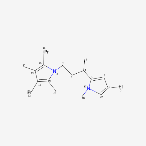 CCc1cc(C(C)CCn2c(C)c(C(C)C)c(C)c2C(C)C)n(C)c1